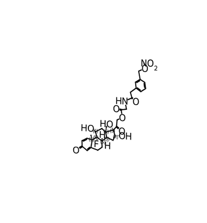 C[C@]12C=CC(=O)C=C1CC[C@H]1[C@@H]3C[C@@H](O)[C@](O)(C(=O)COC(=O)CNC(=O)Cc4cccc(CO[N+](=O)[O-])c4)[C@@]3(C)C[C@H](O)[C@@]12F